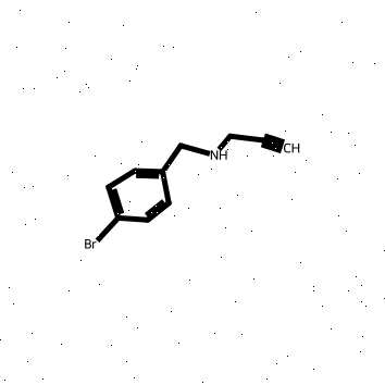 C#CCNCc1ccc(Br)cc1